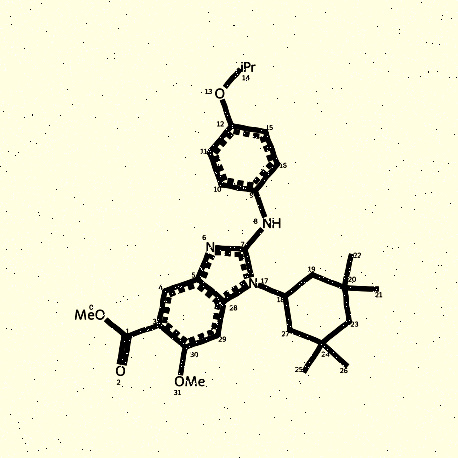 COC(=O)c1cc2nc(Nc3ccc(OC(C)C)cc3)n(C3CC(C)(C)CC(C)(C)C3)c2cc1OC